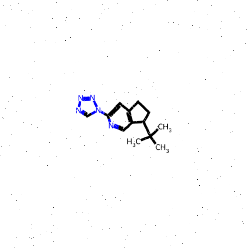 CC(C)(C)C1CCc2cc(-n3cnnn3)ncc21